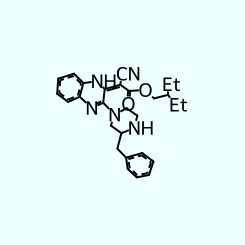 CCC(CC)COC(=O)/C(C#N)=C1/Nc2ccccc2N=C1N1CCNC(Cc2ccccc2)C1